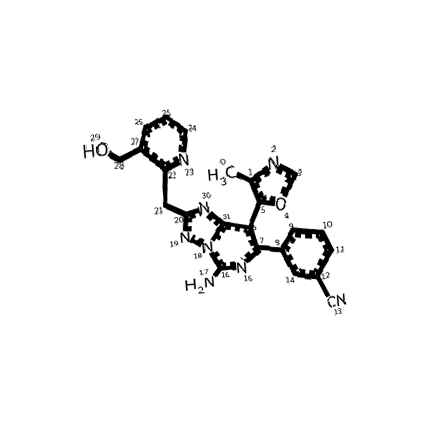 Cc1ncoc1-c1c(-c2cccc(C#N)c2)nc(N)n2nc(Cc3ncccc3CO)nc12